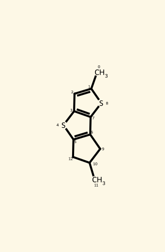 Cc1cc2sc3c(c2s1)CC(C)C3